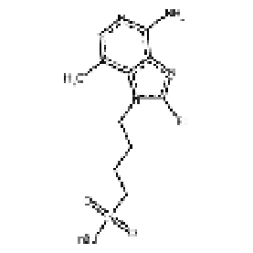 CCCCS(=O)(=O)CCCCn1c(CC)nc2c(N)ncc(C)c21